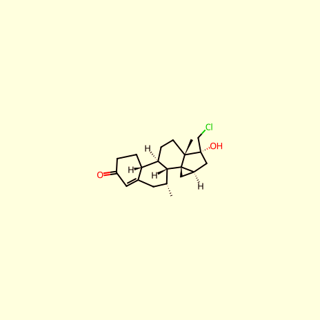 C[C@@H]1CC2=CC(=O)CC[C@@H]2[C@H]2CC[C@]3(C)[C@@](O)(CCl)C[C@H]4C[C@]43[C@@H]21